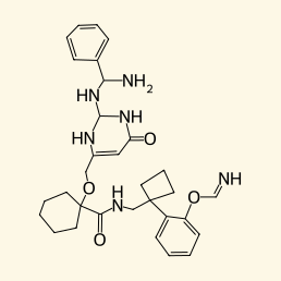 N=COc1ccccc1C1(CNC(=O)C2(OCC3=CC(=O)NC(NC(N)c4ccccc4)N3)CCCCC2)CCC1